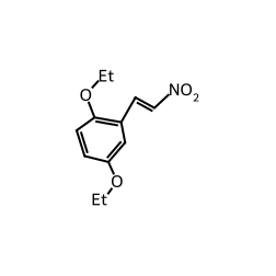 CCOc1ccc(OCC)c(C=C[N+](=O)[O-])c1